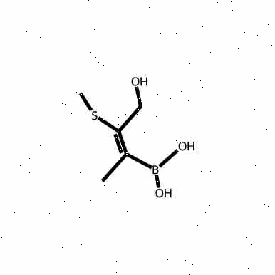 CS/C(CO)=C(\C)B(O)O